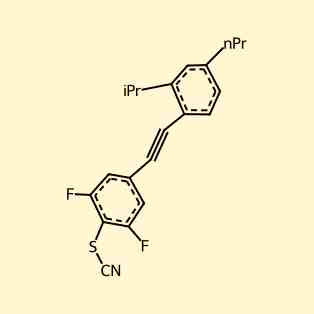 CCCc1ccc(C#Cc2cc(F)c(SC#N)c(F)c2)c(C(C)C)c1